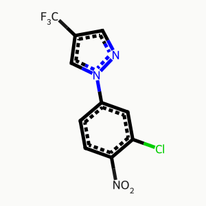 O=[N+]([O-])c1ccc(-n2cc(C(F)(F)F)cn2)cc1Cl